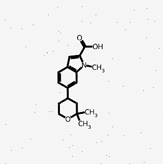 Cn1c(C(=O)O)cc2ccc(C3CCOC(C)(C)C3)cc21